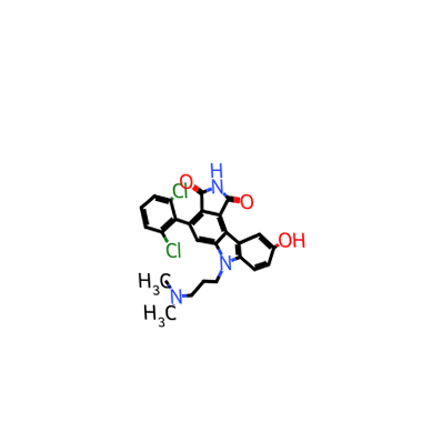 CN(C)CCCn1c2ccc(O)cc2c2c3c(c(-c4c(Cl)cccc4Cl)cc21)C(=O)NC3=O